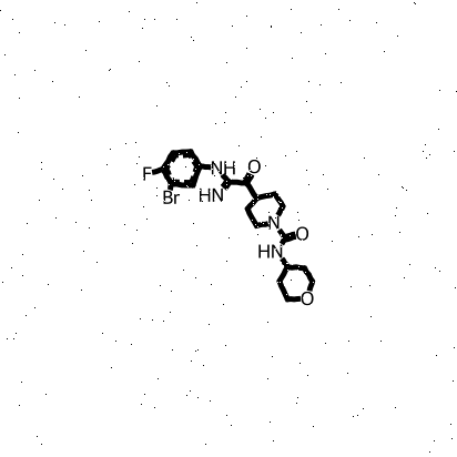 N=C(Nc1ccc(F)c(Br)c1)C(=O)C1CCN(C(=O)NC2CCOCC2)CC1